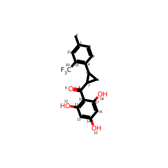 Cc1ccc(C2CC2C(=O)c2c(O)cc(O)cc2O)c(C(F)(F)F)c1